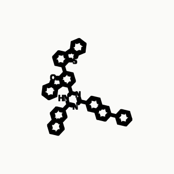 c1ccc(-c2ccc3cc(C4=NC(c5ccc(-c6cccc7c6sc6ccccc67)c6oc7ccccc7c56)NC(c5ccc6ccccc6c5)=N4)ccc3c2)cc1